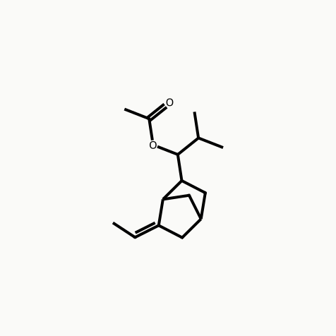 CC=C1CC2CC1C(C(OC(C)=O)C(C)C)C2